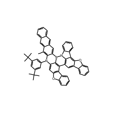 Cc1c2c(cc3cc4ccccc4cc13)B1c3c(cc4oc5ccccc5c4c3-c3cc4c5ccccc5oc4c4c5ccccc5n1c34)N2c1cc(C(C)(C)C)cc(C(C)(C)C)c1